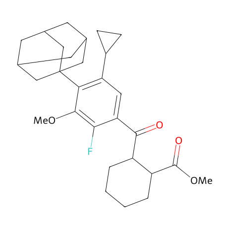 COC(=O)C1CCCCC1C(=O)c1cc(C2CC2)c(C23CC4CC(CC(C4)C2)C3)c(OC)c1F